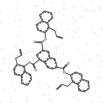 C=CCc1ccc2ccccc2c1OC(=O)c1cc(C(=O)Oc2ccc3ccccc3c2CC=C)cc2cc(C(=O)Oc3ccc4ccccc4c3CC=C)ccc12